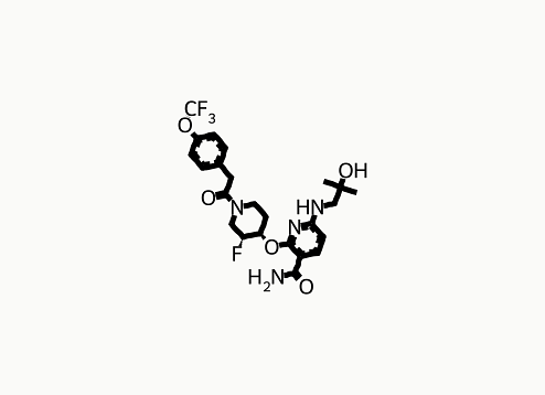 CC(C)(O)CNc1ccc(C(N)=O)c(O[C@@H]2CCN(C(=O)Cc3ccc(OC(F)(F)F)cc3)C[C@H]2F)n1